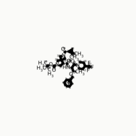 C[C@@H](OCC12CCC(CC1)OC2)[C@H](NC(=O)[C@@H]1CN(C(=O)OC(C)(C)C)CC12CN(C(=O)[C@H]1CC1(C)C)C2)C(O)N1CCC(C(F)(F)F)CC1